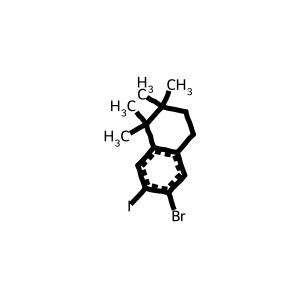 CC1(C)CCc2cc(Br)c(I)cc2C1(C)C